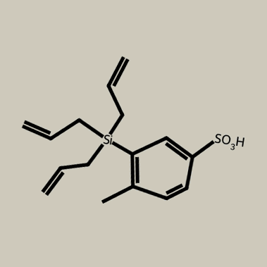 C=CC[Si](CC=C)(CC=C)c1cc(S(=O)(=O)O)ccc1C